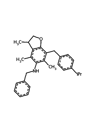 Cc1c(Cc2ccc(C(C)C)cc2)c2c(c(C)c1NCc1ccccc1)C(C)CO2